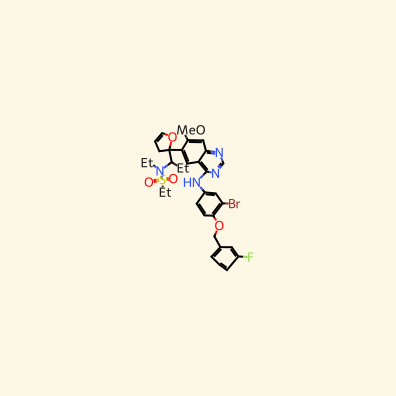 CCC(N(CC)S(=O)(=O)CC)C1(c2cc3c(Nc4ccc(OCc5cccc(F)c5)c(Br)c4)ncnc3cc2OC)CC=CO1